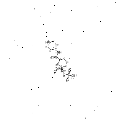 C[C@H]1C2CCC(C(=O)NC3CCNCC3)N1C(=O)N2OS(=O)(=O)O